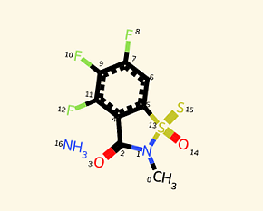 CN1C(=O)c2c(cc(F)c(F)c2F)S1(=O)=S.N